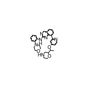 CC(Oc1ccnc(-c2cccc3cnc(Nc4ccccc4N4CCOCC4)nc23)c1)C1CNCCO1